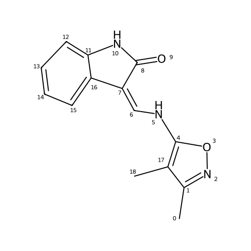 Cc1noc(N/C=C2\C(=O)Nc3ccccc32)c1C